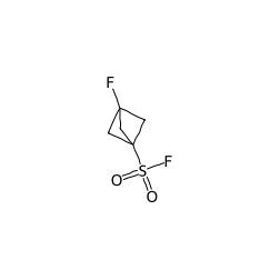 O=S(=O)(F)C12CC(F)(C1)C2